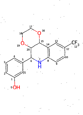 Oc1cccc(C2Nc3ccc(C(F)(F)F)cc3C3OCCOC23)c1